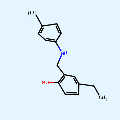 CCc1ccc(O)c(CNc2ccc(C)cc2)c1